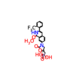 O.O=C1O[C@H](CP(=O)(O)O)CN1c1ccc2cc(-c3ccccc3C(F)(F)F)[nH]c(=O)c2c1